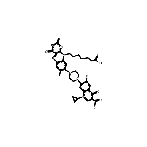 C=c1nc2c(c(=O)[nH]1)=Nc1cc(C)c(N3CCN(c4cc5c(cc4F)c(=O)c(C(=O)O)cn5C4CC4)CC3)cc1N2CCCCCCC(=O)O